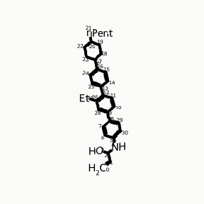 C=CC(O)Nc1ccc(-c2ccc(-c3ccc(C4CCC(CCCCC)CC4)cc3)c(CC)c2)cc1